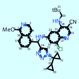 COc1nccc2c(C(Nc3cc(Cl)c4ncc(C#N)c(NCC(C)(C)C)c4c3)c3cn(C4(C5CC5)CC4)nn3)cccc12